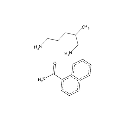 CC(CN)CCCN.NC(=O)c1cccc2ccccc12